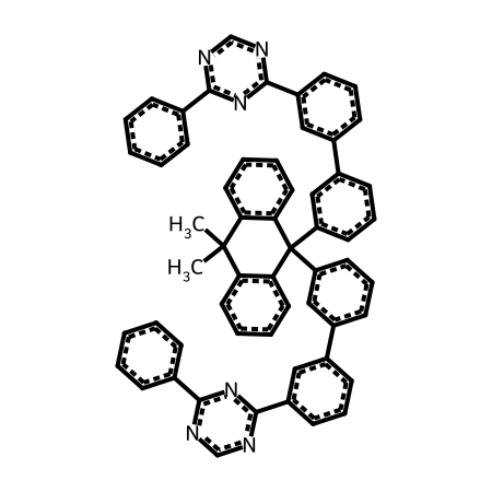 CC1(C)c2ccccc2C(c2cccc(-c3cccc(-c4ncnc(-c5ccccc5)n4)c3)c2)(c2cccc(-c3cccc(-c4ncnc(-c5ccccc5)n4)c3)c2)c2ccccc21